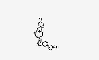 FC1(CN2CCC(n3ccc4cc(N5C=CCNC5)ccc43)CC2)CCNCC1